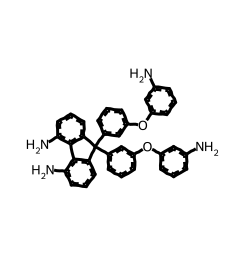 Nc1cccc(Oc2cccc(C3(c4cccc(Oc5cccc(N)c5)c4)c4cccc(N)c4-c4c(N)cccc43)c2)c1